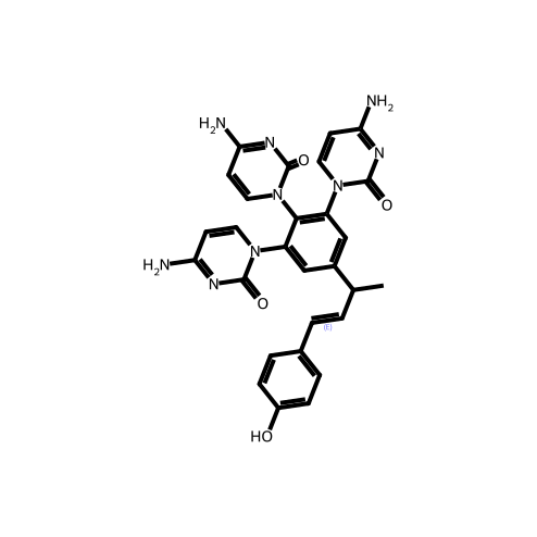 CC(/C=C/c1ccc(O)cc1)c1cc(-n2ccc(N)nc2=O)c(-n2ccc(N)nc2=O)c(-n2ccc(N)nc2=O)c1